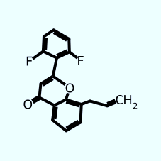 C=CCc1cccc2c(=O)cc(-c3c(F)cccc3F)oc12